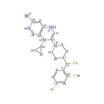 Fc1ccc(C(F)C2CCN(C3=CNc4cc(Br)ncc4N3C3CC3)CC2)c(F)c1